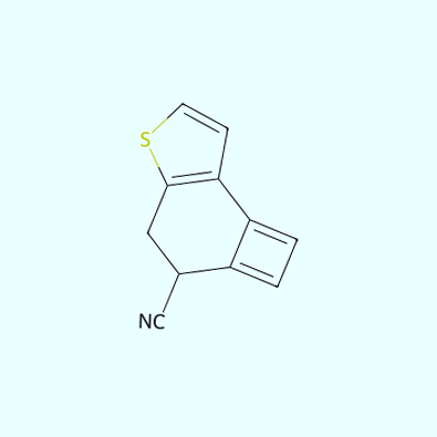 N#CC1Cc2sccc2C2=CC=C21